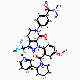 COc1ccc(-n2nc(C(F)(F)F)c3c2C(=O)N(c2ccc(C(=O)N(C)C)cc2)CC3)c(C(=O)N2CCCCC2c2cccnc2)c1